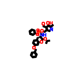 Cc1ncc(COP(=O)(N[C@@H](Cc2ccc(OCc3ccccc3)cc2)C(=O)OC(C)C)Oc2ccccc2)c(C=O)c1O